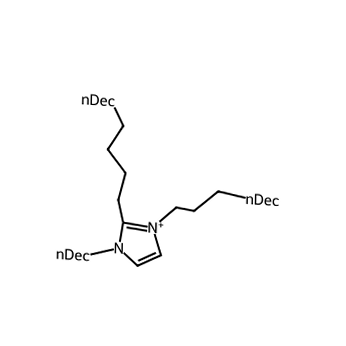 CCCCCCCCCCCCCCc1n(CCCCCCCCCC)cc[n+]1CCCCCCCCCCCCC